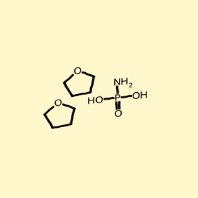 C1CCOC1.C1CCOC1.NP(=O)(O)O